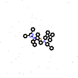 c1ccc(-c2ccc(N(c3ccc4c(c3)C3(c5ccccc5-c5ccccc53)c3ccccc3-4)c3cccc4c3sc3c5ccccc5c5c(c43)c3c4ccccc4ccc3n5-c3nc(-c4ccccc4)cc(-c4ccccc4)n3)cc2)cc1